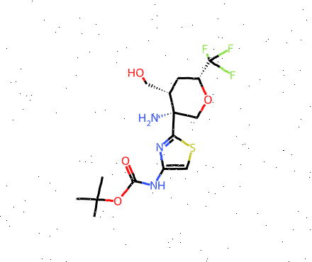 CC(C)(C)OC(=O)Nc1csc([C@]2(N)CO[C@@H](C(F)(F)F)C[C@H]2CO)n1